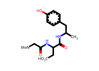 CNCC(=O)NC(CC(=O)O)C(=O)NC(C)Cc1ccc(O)cc1